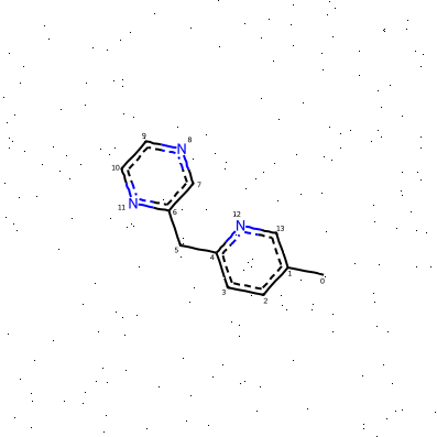 Cc1ccc(Cc2cnccn2)nc1